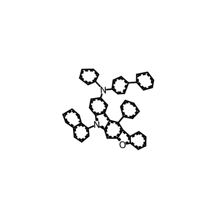 c1ccc(-c2ccc(N(c3ccccc3)c3ccc4c(c3)c3c(-c5ccccc5)c5c(cc3n4-c3cccc4ccccc34)oc3ccccc35)cc2)cc1